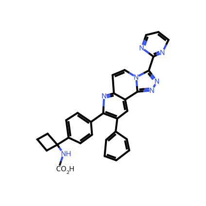 O=C(O)NC1(c2ccc(-c3nc4ccn5c(-c6ncccn6)nnc5c4cc3-c3ccccc3)cc2)CCC1